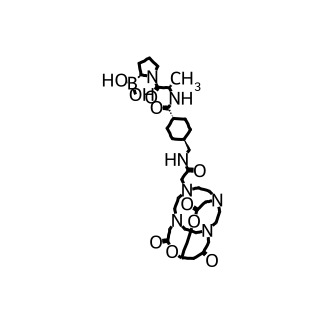 C[C@@H](NC(=O)[C@H]1CC[C@H](CNC(=O)CN2CCN3CCN4CCN(CC2)CC(=O)OC(CC(=O)C4)OC(=O)C3)CC1)C(=O)N1CCC[C@H]1B(O)O